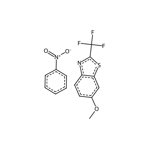 COc1ccc2nc(C(F)(F)F)sc2c1.O=[N+]([O-])c1ccccc1